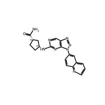 NC(=O)[C@H]1CC[C@@H](Nc2ncc3nnn(-c4ccc5ncccc5c4)c3n2)C1